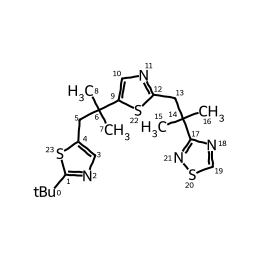 CC(C)(C)c1ncc(CC(C)(C)c2cnc(CC(C)(C)c3ncsn3)s2)s1